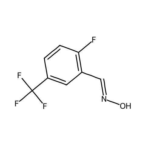 ON=Cc1cc(C(F)(F)F)ccc1F